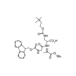 CC(C)(C)OC(=O)NC[C@H](NC(=O)OCC1c2ccccc2-c2ccccc21)C(=O)NC(CNC(=O)OCC[Si](C)(C)C)C(=O)O